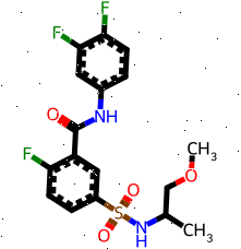 COCC(C)NS(=O)(=O)c1ccc(F)c(C(=O)Nc2ccc(F)c(F)c2)c1